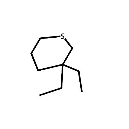 CCC1(CC)CCCSC1